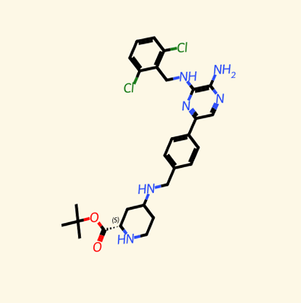 CC(C)(C)OC(=O)[C@@H]1CC(NCc2ccc(-c3cnc(N)c(NCc4c(Cl)cccc4Cl)n3)cc2)CCN1